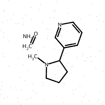 C=O.CN1CCCC1c1cccnc1.N